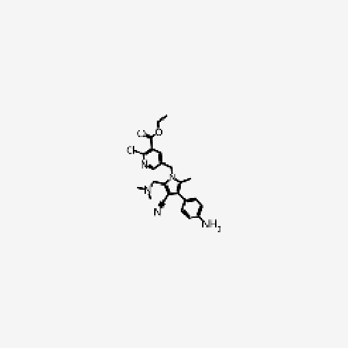 CCOC(=O)c1cc(Cn2c(C)c(-c3ccc(N)cc3)c(C#N)c2CN(C)C)cnc1Cl